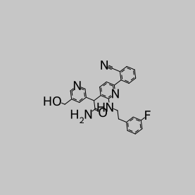 N#Cc1ccccc1-c1ccc(C(C(N)=O)c2cncc(CO)c2)c(NCCc2cccc(F)c2)n1